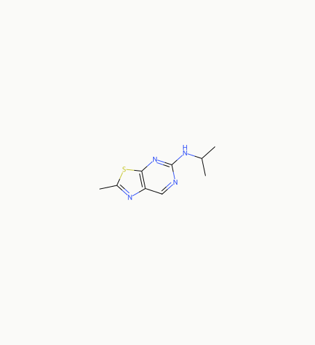 Cc1nc2cnc(NC(C)C)nc2s1